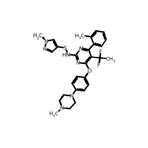 Cc1ccccc1-c1nc(NSc2cnn(C)c2)nc(Oc2ccc(N3CCN(C)CC3)cc2)c1C(C)(F)F